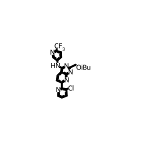 CC(C)COCc1nc(Nc2ccc(C(F)(F)F)nc2)c2ccc(-c3ncccc3Cl)nc2n1